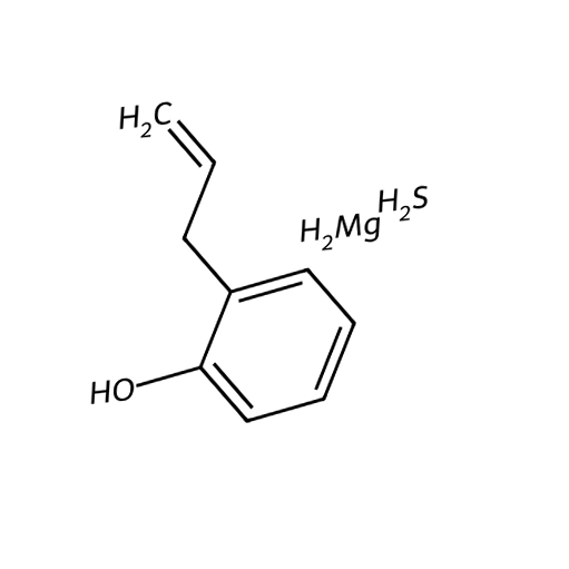 C=CCc1ccccc1O.S.[MgH2]